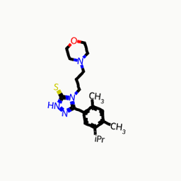 Cc1cc(C)c(C(C)C)cc1-c1n[nH]c(=S)n1CCCN1CCOCC1